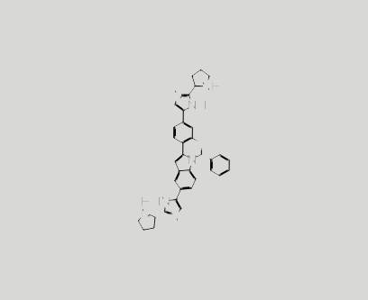 c1ccc([C@@H]2Oc3cc(-c4cnc(C5CCCN5)[nH]4)ccc3-c3cc4cc(-c5cnc([C@@H]6CCCN6)[nH]5)ccc4n32)cc1